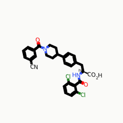 N#Cc1cccc(C(=O)N2CCC(c3ccc(C[C@H](NC(=O)c4c(Cl)cccc4Cl)C(=O)O)cc3)CC2)c1